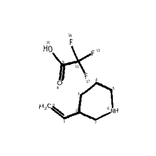 C=CC1CCCNC1.O=C(O)C(F)(F)F